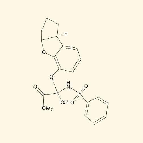 COC(=O)C(O)(NS(=O)(=O)c1ccccc1)Oc1cccc2c1OC1CCC[C@@H]21